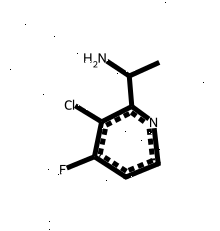 CC(N)c1nccc(F)c1Cl